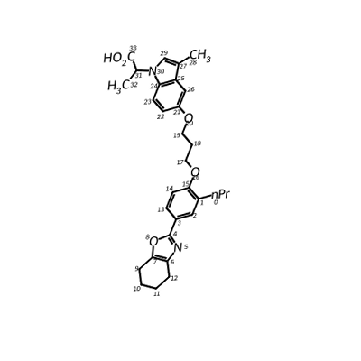 CCCc1cc(-c2nc3c(o2)CCCC3)ccc1OCCCOc1ccc2c(c1)c(C)cn2C(C)C(=O)O